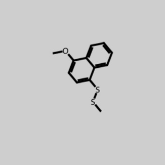 COc1ccc(SSC)c2ccccc12